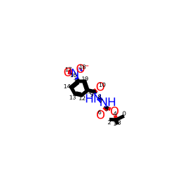 CC(C)(C)OC(=O)NNC(=O)c1cccc([N+](=O)[O-])c1